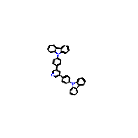 c1ccc2c(c1)c1ccccc1n2-c1ccc(-c2cncc(-c3ccc(-n4c5ccccc5c5ccccc54)cc3)c2)cc1